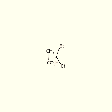 CC(=O)O.CCSCC